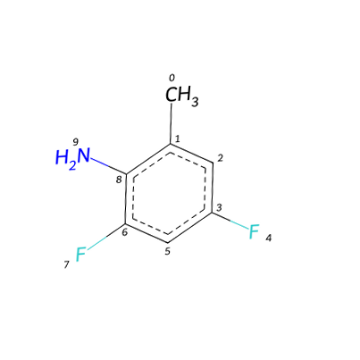 Cc1cc(F)cc(F)c1N